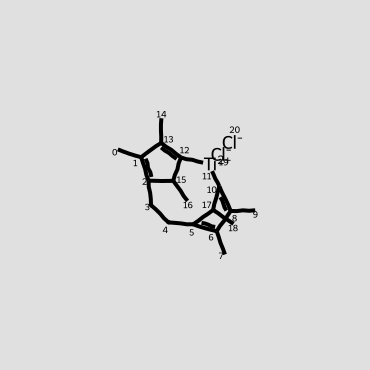 CC1=C2CCC3=C(C)C(C)=[C]([Ti+2][C](=C1C)C2C)C3C.[Cl-].[Cl-]